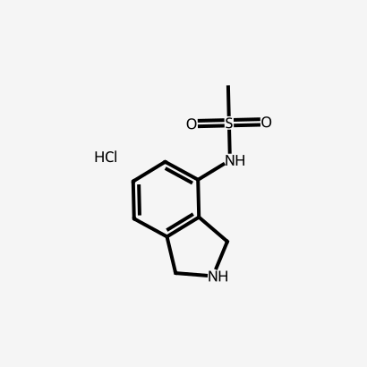 CS(=O)(=O)Nc1cccc2c1CNC2.Cl